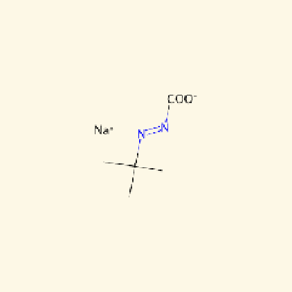 CC(C)(C)N=NC(=O)[O-].[Na+]